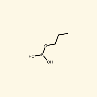 CCCOB(O)O